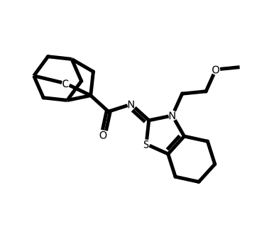 COCCn1c2c(s/c1=N\C(=O)C13CC4CC(CC1C4)C3)CCCC2